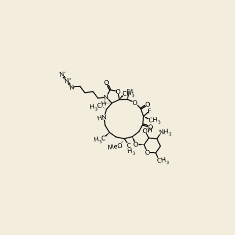 CC[C@H]1OC(=O)[C@](C)(F)C(=O)C[C@@H](O[C@@H]2OC(C)CC(N)C2O)[C@](C)(OC)C[C@@H](C)CN[C@H](C)[C@H]2N(CCCCN=[N+]=[N-])C(=O)O[C@]12C